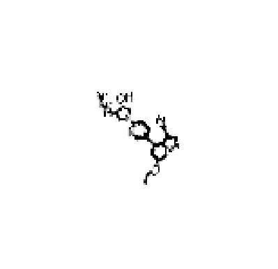 CCOc1cc(-c2ccc(N3CC(N=[N+]=[N-])[C@H](O)C3)nc2)c2c(C#N)cnn2c1